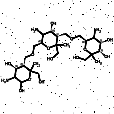 CC1(CO)O[C@@H](COC[C@H]2[C@@H](O)C(N)[C@H](COC[C@H]3[C@@H](O)C(N)C(O)OC3(C)CO)OC2(C)CO)C(N)[C@H](O)[C@@H]1O